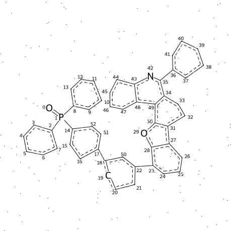 O=P(c1ccccc1)(c1ccccc1)c1ccc(-c2cccc(-c3cccc4c3oc3c4ccc4c(-c5ccccc5)nc5ccccc5c43)c2)cc1